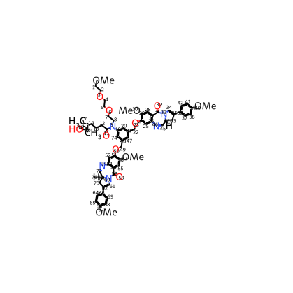 COCCOCCOCCN(C(=O)CCC[Si](C)(C)O)c1cc(COc2cc3c(cc2OC)C(=O)N2C=C(c4ccc(OC)cc4)C[C@H]2C=N3)cc(COc2cc3c(cc2OC)C(=O)N2C=C(c4ccc(OC)cc4)C[C@H]2C=N3)c1